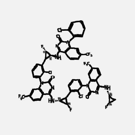 O=c1nc(N[C@H]2C(c3cccc(-n4c(=O)nc(N[C@@H]5C(c6cccc(-n7c(=O)nc(N[C@@H]8C[C@H]8F)c8ccc(C(F)(F)F)cc87)c6Cl)[C@H]5F)c5ccc(C(F)(F)F)cc54)c3Cl)[C@@H]2F)c2ccc(C(F)(F)F)cc2n1-c1ccccc1Cl